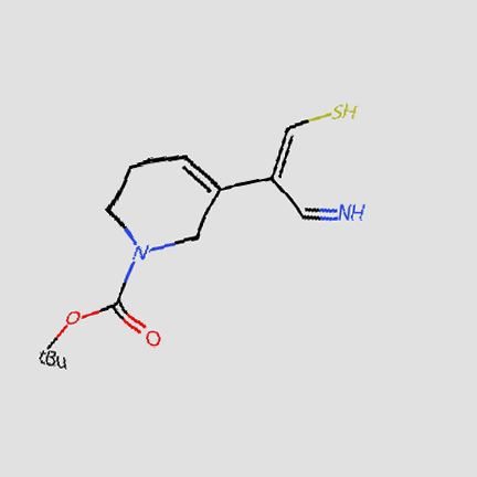 CC(C)(C)OC(=O)N1CCC=C(/C(C=N)=C/S)C1